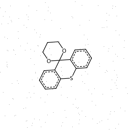 c1ccc2c(c1)Sc1ccccc1C21OCCCO1